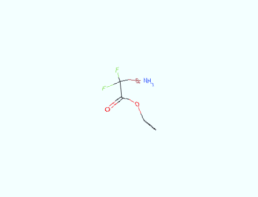 CCOC(=O)C(F)(F)Br.N